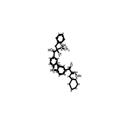 CCC(Cc1ccccc1)(C(O)c1ccc2[nH]c3ccc(C(=O)/C(CC4CCCCC4)=N/OC(C)=O)cc3c2c1)N(C)C